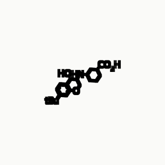 CC(C)(C)c1ccc2c(c1)OC[C@@H](N[C@@H]1CCC[C@@H](C(=O)O)C1)[C@H]2O